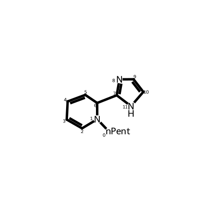 CCCCCN1C=CC=CC1c1ncc[nH]1